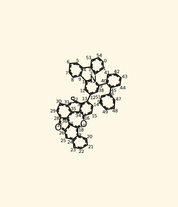 c1ccc(-c2ccccc2-c2cc(-c3ccc4oc5c6ccccc6cc6oc7ccc8sc3c4c8c7c65)cc(-c3ccccc3-c3ccccc3)n2)cc1